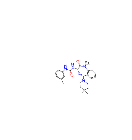 CCN1C(=O)C(NC(=O)Nc2cccc(C)c2)N=C(N2CCC(C)(C)CC2)c2ccccc21